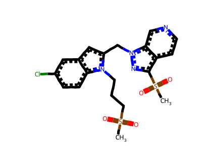 CS(=O)(=O)CCCn1c(Cn2nc(S(C)(=O)=O)c3ccncc32)cc2cc(Cl)ccc21